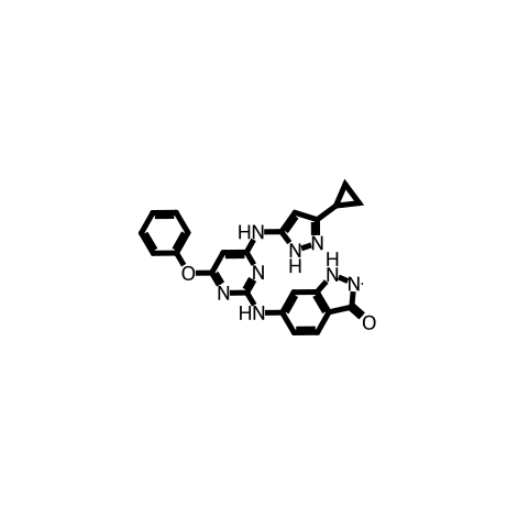 O=C1[N]Nc2cc(Nc3nc(Nc4cc(C5CC5)n[nH]4)cc(Oc4ccccc4)n3)ccc21